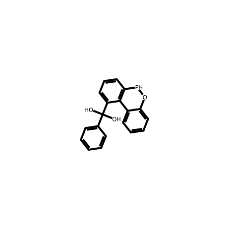 OC(O)(c1ccccc1)c1cccc2c1-c1ccccc1OP2